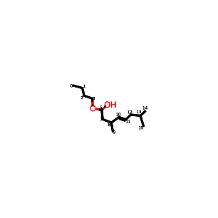 CCCCOC(O)CC(C)C=CCC(C)C